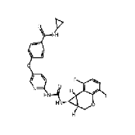 O=C(Nc1ccc(Oc2ccc(C(=O)NC3CC3)cc2)cn1)N[C@@H]1[C@H]2COc3c(F)ccc(F)c3[C@H]21